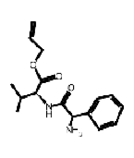 C=CCOC(=O)[C@@H](NC(=O)C(N)c1ccccc1)C(C)C